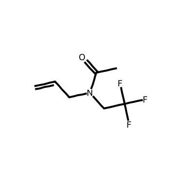 C=CCN(CC(F)(F)F)C(C)=O